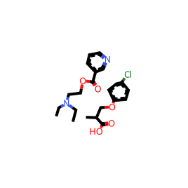 CC(COc1ccc(Cl)cc1)C(=O)O.CCN(CC)CCOC(=O)c1cccnc1